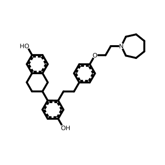 Oc1ccc2c(c1)CCC(c1ccc(O)cc1CCc1ccc(OCCN3CCCCCC3)cc1)C2